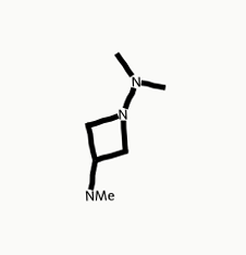 CNC1CN(N(C)C)C1